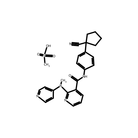 CN(c1ccncc1)c1ncccc1C(=O)Nc1ccc(C2(C#N)CCCC2)cc1.CS(=O)(=O)O